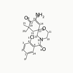 Cc1ccc(Cl)c(C(=O)N2CCOC3(C=C(N)C(=O)C(C)(C)C3)C2)c1